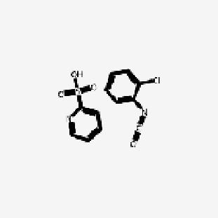 O=C=Nc1ccccc1Cl.O=S(=O)(O)c1ccccn1